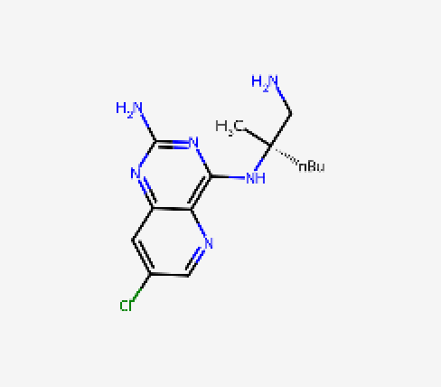 CCCC[C@](C)(CN)Nc1nc(N)nc2cc(Cl)cnc12